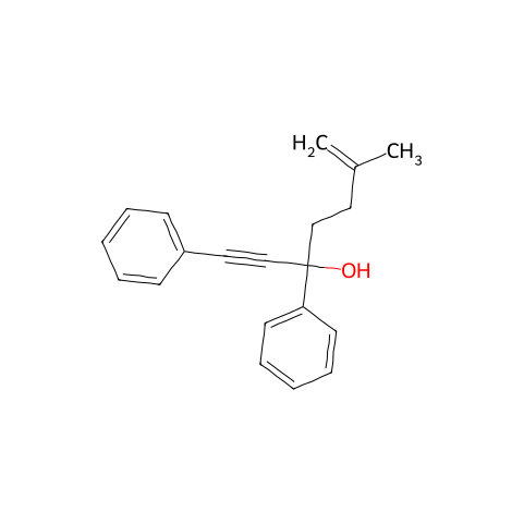 C=C(C)CCC(O)(C#Cc1ccccc1)c1ccccc1